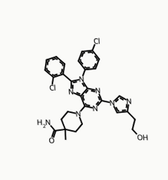 CC1(C(N)=O)CCN(c2nc(-n3cnc(CCO)c3)nc3c2nc(-c2ccccc2Cl)n3-c2ccc(Cl)cc2)CC1